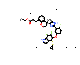 CCOC(=O)CCc1cccc2c1OCC[C@]2(C)c1c[nH]c(-c2cc(Oc3c(F)c(F)c4[nH]ccc4c3SC3CC3)ccc2F)n1